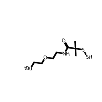 CC(C)(C)CCOCCNC(=O)C(C)(C)SS